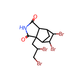 O=C1NC(=O)C2(CC(Br)CBr)C3CC(C(Br)C3Br)C12